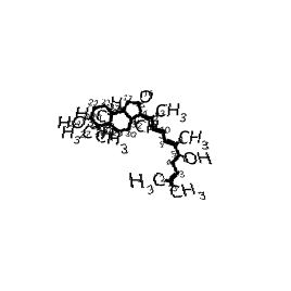 CC(C)=CC[C@H](O)/C(C)=C/C=C/C(C)=C1/C(=O)C[C@H]2[C@@]3(C)CC[C@H](O)C(C)(C)[C@@H]3CC[C@]12C